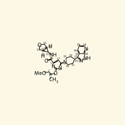 COC[C@@H](C)Oc1nc(C(=O)NC2[C@H]3COC[C@@H]23)cc(N2CCC(c3n[nH]c4ncccc34)CC2)n1